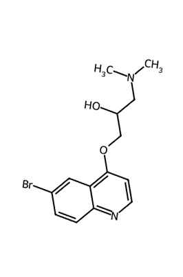 CN(C)CC(O)COc1ccnc2ccc(Br)cc12